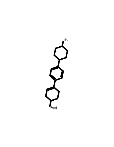 CCCCCC1CC=C(c2ccc(C3CCC(CCCC)CC3)cc2)CC1